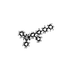 c1ccc(-c2ccc(-c3ccc(-c4ccc(-c5nc(-c6ccccc6)nc(-c6ccccc6)n5)cc4-c4ccccc4)cc3)cc2)cc1